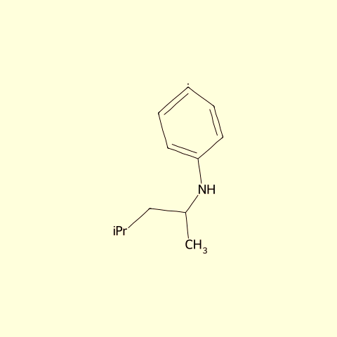 CC(C)CC(C)Nc1cc[c]cc1